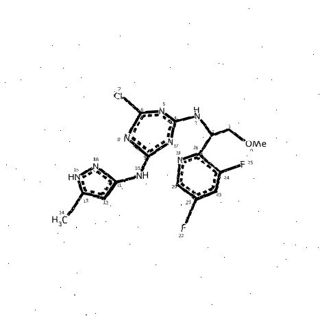 COCC(Nc1nc(Cl)nc(Nc2cc(C)[nH]n2)n1)c1ncc(F)cc1F